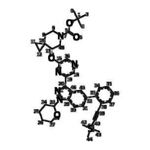 CC(C)(C)OC(=O)N1CCC2(CC2)[C@@H](Oc2cncc(-c3nn(C4CCCCO4)c4ccc(-c5ccccc5C#C[Si](C)(C)C)cc34)n2)C1